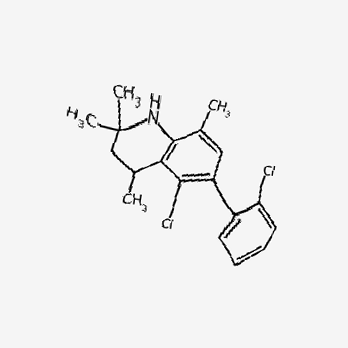 Cc1cc(-c2ccccc2Cl)c(Cl)c2c1NC(C)(C)CC2C